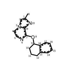 Cc1cn2ccnc(OC3CCCc4ccccc43)c2n1